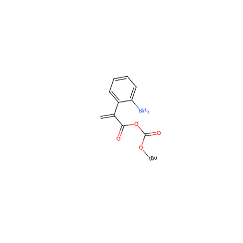 C=C(C(=O)OC(=O)OC(C)(C)C)c1ccccc1N